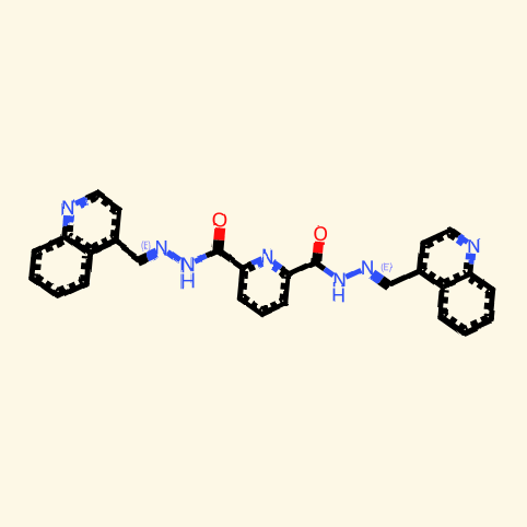 O=C(N/N=C/c1ccnc2ccccc12)c1cccc(C(=O)N/N=C/c2ccnc3ccccc23)n1